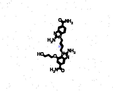 NC(=O)c1ccc2c(c1)nc(N)n2C/C=C/Cn1c(N)nc2cc(C(N)=O)cc(OCCCO)c21